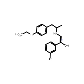 CC(Cc1ccc(OCC(=O)O)cc1)N/C=C(/O)c1cccc(Cl)c1